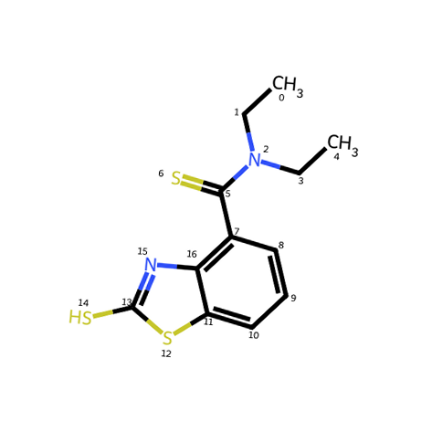 CCN(CC)C(=S)c1cccc2sc(S)nc12